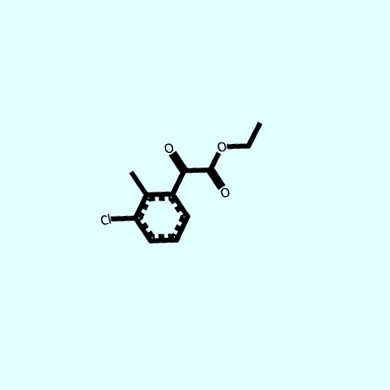 CCOC(=O)C(=O)c1cccc(Cl)c1C